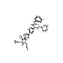 CCCn1c(=O)n(C2CC2)c(=O)c2[nH]c(-c3ccc(N(CCN4CCOCC4)C(=O)NCc4ccccc4)nc3)nc21